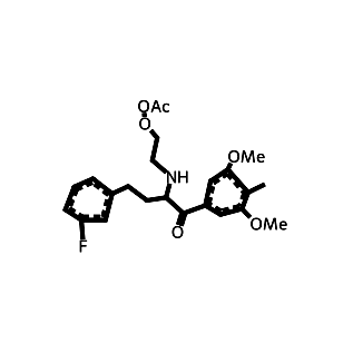 COc1cc(C(=O)C(CCc2cccc(F)c2)NCCOOC(C)=O)cc(OC)c1C